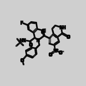 COc1ccc(CN(C(=O)c2cc([N+](=O)[O-])cc3c2CCNC3=O)C(C(=O)NC(C)(C)C)c2cc(F)ccc2Cl)cc1